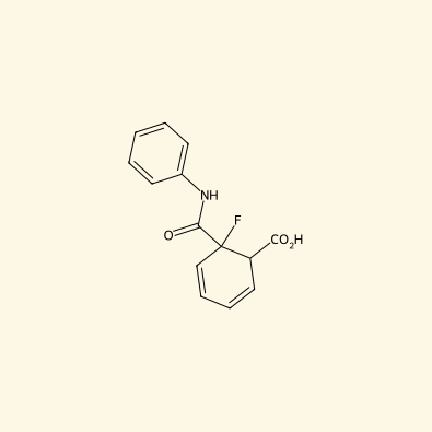 O=C(O)C1C=CC=CC1(F)C(=O)Nc1ccccc1